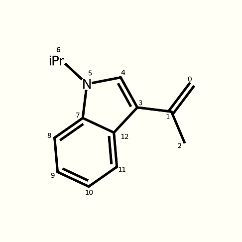 C=C(C)c1cn(C(C)C)c2ccccc12